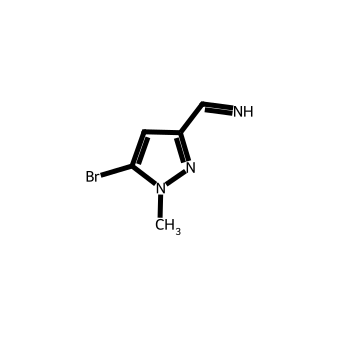 Cn1nc(C=N)cc1Br